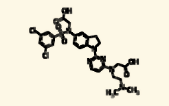 CN(C)CCN(CC(=O)O)c1ccnc(N2CCc3cc(N(CC(=O)O)S(=O)(=O)c4cc(Cl)cc(Cl)c4)ccc32)n1